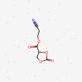 N#CCCOC(=O)C1COC(=O)O1